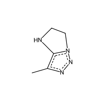 Cc1nnn2c1NCC2